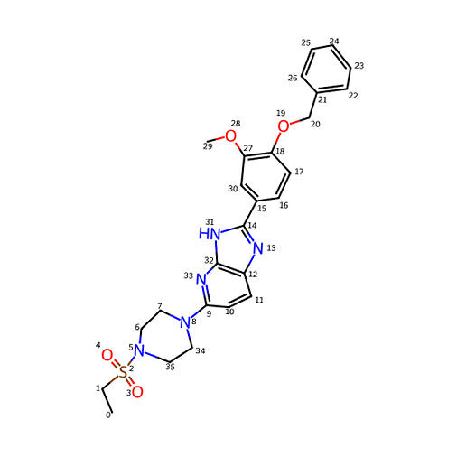 CCS(=O)(=O)N1CCN(c2ccc3nc(-c4ccc(OCc5ccccc5)c(OC)c4)[nH]c3n2)CC1